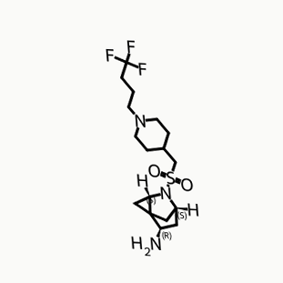 N[C@@H]1C[C@@H]2CC13C[C@@H]3N2S(=O)(=O)CC1CCN(CCCC(F)(F)F)CC1